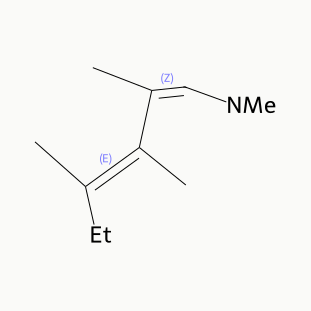 CC/C(C)=C(C)/C(C)=C\NC